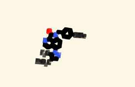 CCOC(=O)c1cnn(-c2ccc3c4c(nccc24)C(=O)N3Cc2ccc(OC)cc2)c1C(F)(F)F